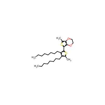 CCCCCCCCc1c(C)sc(-c2sc(C)c3c2OCCO3)c1CCCCCCCC